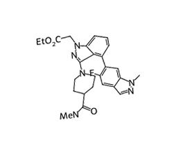 CCOC(=O)Cn1nc(N2CCC(C(=O)NC)CC2)c2c(-c3cc4c(cnn4C)cc3F)cccc21